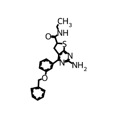 CCNC(=O)C1Cc2c(nc(N)nc2-c2cccc(OCc3ccccc3)c2)S1